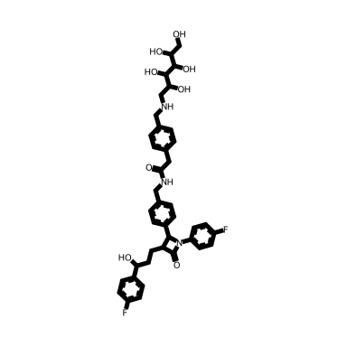 O=C(Cc1ccc(CNCC(O)C(O)C(O)C(O)CO)cc1)NCc1ccc(C2C(CCC(O)c3ccc(F)cc3)C(=O)N2c2ccc(F)cc2)cc1